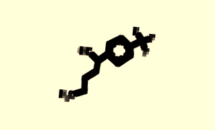 [CH]C(CCCC)c1ccc(C(F)(F)F)cc1